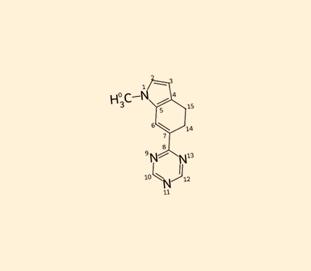 Cn1ccc2c1C=C(c1ncncn1)CC2